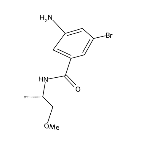 COC[C@H](C)NC(=O)c1cc(N)cc(Br)c1